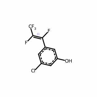 Oc1cc(Cl)cc(/C(F)=C(\F)C(F)(F)F)c1